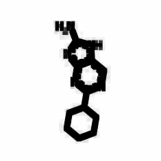 Nc1nc2nc(C3CCCCC3)ncc2[nH]1